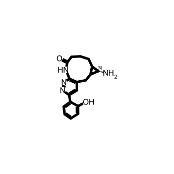 N[C@H]1C2CCCC(=O)Nc3nnc(-c4ccccc4O)cc3CC21